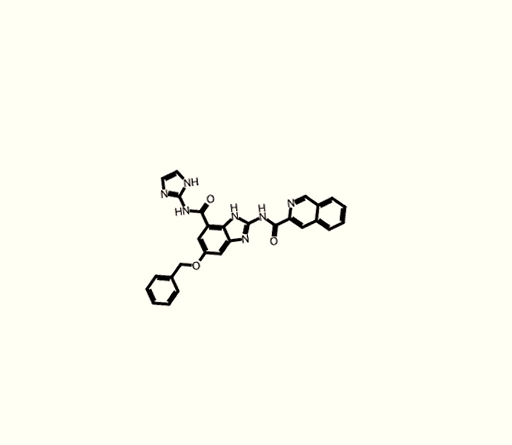 O=C(Nc1nc2cc(OCc3ccccc3)cc(C(=O)Nc3ncc[nH]3)c2[nH]1)c1cc2ccccc2cn1